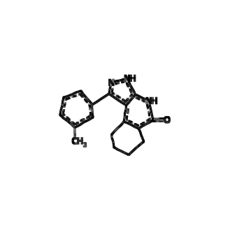 Cc1cccc(-c2n[nH]c3[nH]c(=O)c4c(c23)CCCC4)c1